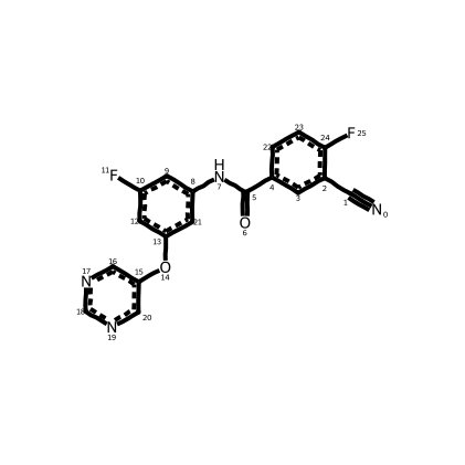 N#Cc1cc(C(=O)Nc2cc(F)cc(Oc3cncnc3)c2)ccc1F